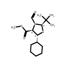 COC(=O)[C@@H]1[C@@H](C2CCCCC2)S[C@H](C(C)(C)C)N1C=O